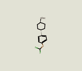 CCCCCCCCCC[C@H]1CC[C@H](c2ccc(SC(F)F)cc2)CC1